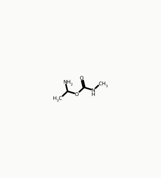 CNC(=O)OC(C)N